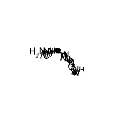 N=C(N)NC(=O)NCc1cccc(-c2cnc(N3CCN(CC(=O)Nc4nccs4)CC3)nc2)c1